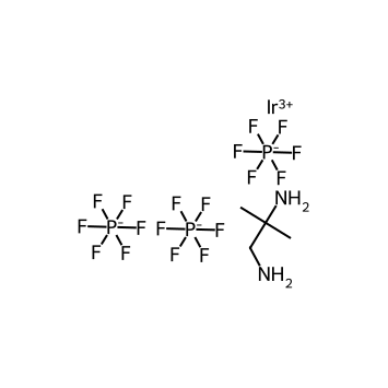 CC(C)(N)CN.F[P-](F)(F)(F)(F)F.F[P-](F)(F)(F)(F)F.F[P-](F)(F)(F)(F)F.[Ir+3]